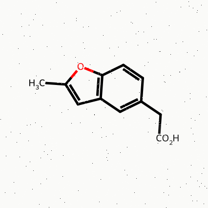 Cc1cc2cc(CC(=O)O)ccc2o1